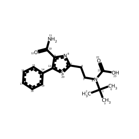 CC(C)(C)N(CCc1nc(C(N)=O)c(-c2ccccc2)s1)C(=O)O